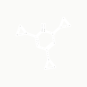 C1=C(C2CC2)C=C(C2CC2)N[C]1C1CC1